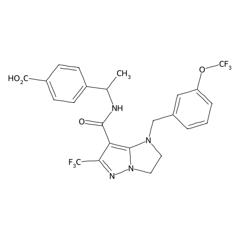 CC(NC(=O)c1c(C(F)(F)F)nn2c1N(Cc1cccc(OC(F)(F)F)c1)CC2)c1ccc(C(=O)O)cc1